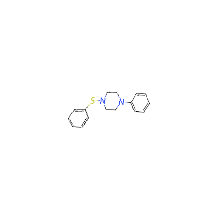 c1ccc(SN2CCN(c3ccccc3)CC2)cc1